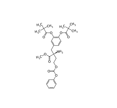 COC(=O)[C@@](N)(CCOC(=O)Oc1ccccc1)Cc1ccc(OC(=O)C(C)(C)C)c(OC(=O)C(C)(C)C)c1